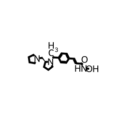 CC(c1ccc(/C=C/C(=O)NO)cc1)N1CCC[C@H]1CN1CCCC1